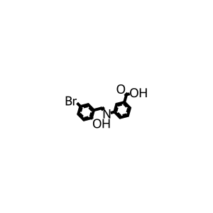 O=C(O)c1cccc(N=Cc2cc(Br)ccc2O)c1